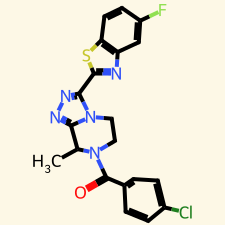 CC1c2nnc(-c3nc4cc(F)ccc4s3)n2CCN1C(=O)c1ccc(Cl)cc1